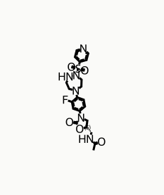 CC(=O)NC[C@H]1CN(c2ccc(N3CCNN(S(=O)(=O)c4ccncc4)CC3)c(F)c2)C(=O)O1